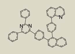 c1ccc(-c2cc(-c3ccc(-c4ccc5ccccc5c4-c4ccc(-c5cccc6cccnc56)cc4)cc3)nc(-c3ccccc3)n2)cc1